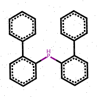 c1ccc(-c2ccccc2Pc2ccccc2-c2ccccc2)cc1